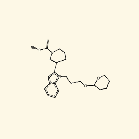 CC(C)(C)OC(=O)N1CCCC(c2cc3ccccc3n2CCCOC2CCCCO2)C1